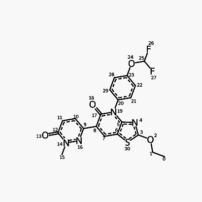 CCOc1nc2c(cc(-c3ccc(=O)n(C)n3)c(=O)n2-c2ccc(OC(F)F)cc2)s1